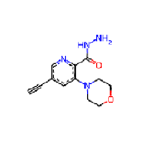 C#Cc1cnc(C(=O)NN)c(N2CCOCC2)c1